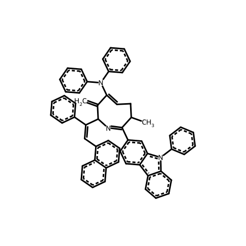 C=C1/C(N(c2ccccc2)c2ccccc2)=C/CC(C)/C(c2ccc3c4ccccc4n(-c4ccccc4)c3c2)=N\C1/C(=C\c1cccc2ccccc12)c1ccccc1